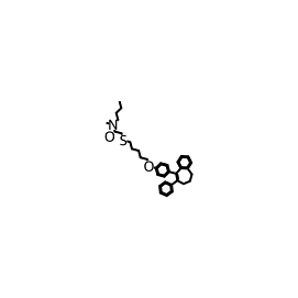 CCCCN(C)C(=O)CSCCCCCOc1ccc(C2=C(c3ccccc3)CCCc3ccccc32)cc1